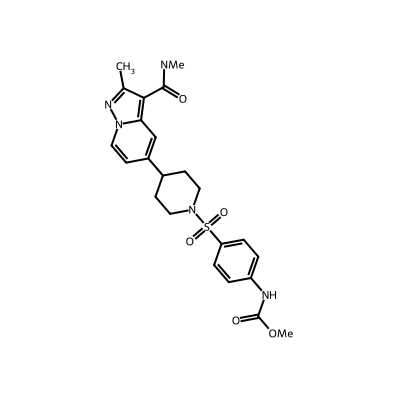 CNC(=O)c1c(C)nn2ccc(C3CCN(S(=O)(=O)c4ccc(NC(=O)OC)cc4)CC3)cc12